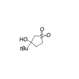 CC(C)(C)C1(O)CCS(=O)(=O)C1